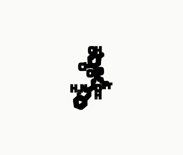 Cc1cc(S(=O)(=O)N(CC(C)C)C[C@@H](O)[C@@H](N)Cc2ccccc2)c(Cl)cc1O